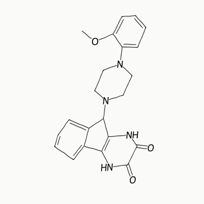 COc1ccccc1N1CCN(C2c3ccccc3-c3[nH]c(=O)c(=O)[nH]c32)CC1